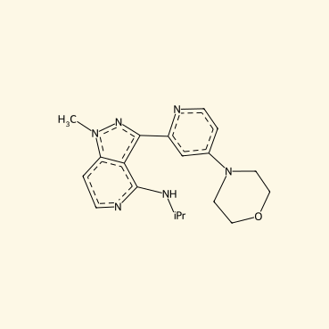 CC(C)Nc1nccc2c1c(-c1cc(N3CCOCC3)ccn1)nn2C